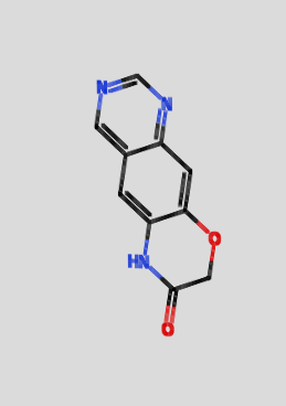 O=C1COc2cc3ncncc3cc2N1